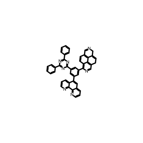 C1=NCC2=CCc3cnc(-c4cc(-c5nc(-c6ccccc6)nc(-c6ccccc6)n5)cc(-c5cc6cccnc6c6ncccc56)c4)c4ccc1c2c34